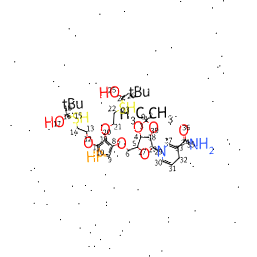 CC1(C)OC2C(COc3c[pH]c(OCC[SH]=C(O)C(C)(C)C)c3OCC[SH]=C(O)C(C)(C)C)OC(N3C=CCC(C(N)=O)=C3)C2O1